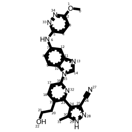 COc1ccc(Nc2ccc3c(c2)ncn3-c2ccc(CCO)c(-c3c(C#N)n[nH]c3C)n2)nn1